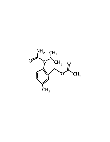 CC(=O)OCc1cc(C)ccc1N(C(N)=O)N(C)C